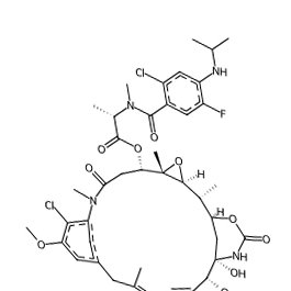 COc1cc2cc(c1Cl)N(C)C(=O)C[C@H](OC(=O)[C@H](C)N(C)C(=O)c1cc(F)c(NC(C)C)cc1Cl)[C@]1(C)O[C@H]1[C@H](C)[C@@H]1C[C@@](O)(NC(=O)O1)[C@H](OC)/C=C/C=C(\C)C2